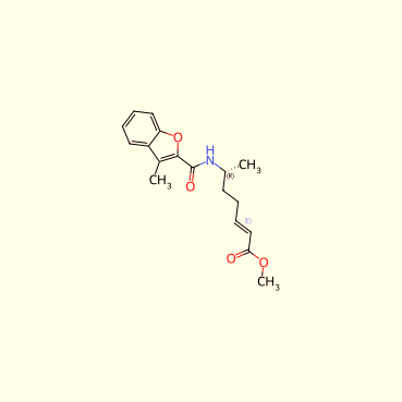 COC(=O)/C=C/CC[C@@H](C)NC(=O)c1oc2ccccc2c1C